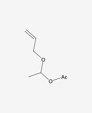 C=CCOC(C)OC(C)=O